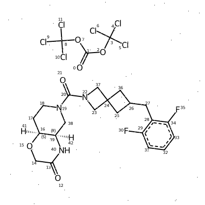 O=C(OC(Cl)(Cl)Cl)OC(Cl)(Cl)Cl.O=C1CO[C@H]2CCN(C(=O)N3CC4(CC(Cc5c(F)cccc5F)C4)C3)C[C@H]2N1